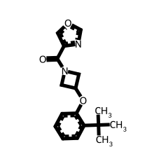 CC(C)(C)c1ccccc1OC1CN(C(=O)c2cocn2)C1